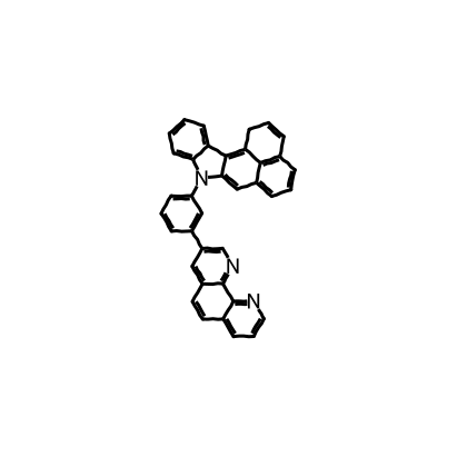 C1=Cc2cccc3cc4c(c(c23)C1)c1ccccc1n4-c1cccc(-c2cnc3c(ccc4cccnc43)c2)c1